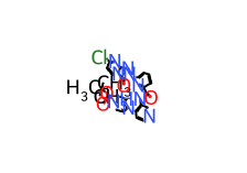 CC(C)(C)OC(=O)N1CCN(c2ccncc2NC(=O)c2cccc(-n3nc4nc(Cl)ccn4c3=O)n2)CC1